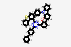 c1ccc(-c2ccc(-c3nc(-c4cccc5c4oc4c5ccc5c6ccccc6n(-c6ccccc6)c54)nc(-c4cccc5sc6ccccc6c45)n3)cc2)cc1